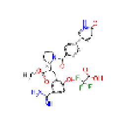 COC(=O)C(Cc1cc(C(=N)N)ccc1O)[C@H]1CCCN1C(=O)c1ccc(-c2ccc(=O)[nH]c2)cc1.O=C(O)C(F)(F)F